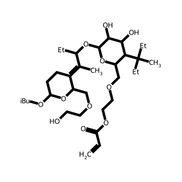 C=CC(=O)OCCOCC1OC(OC(CC)/C(C)=C2\CCC(OC(C)CC)OC2COCCO)C(O)C(O)C1C(C)(CC)CC